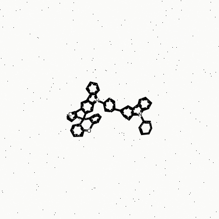 C1=CC(n2c3ccccc3c3cc(-c4ccc(-n5c6ccccc6c6cc7c(cc65)C5(c6ccccc6Oc6ccccc65)c5ccccc5-7)cc4)ccc32)=CCC1